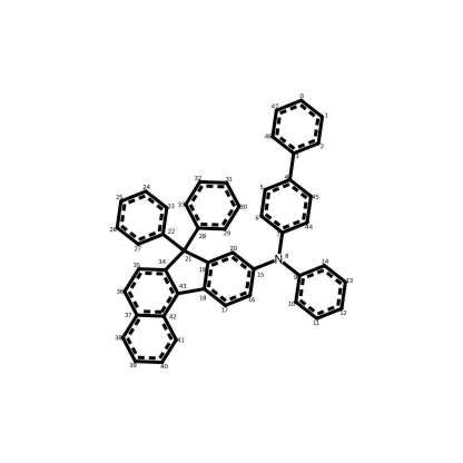 c1ccc(-c2ccc(N(c3ccccc3)c3ccc4c(c3)C(c3ccccc3)(c3ccccc3)c3ccc5ccccc5c3-4)cc2)cc1